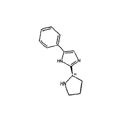 c1ccc(-c2cnc([C@H]3CCCN3)[nH]2)cc1